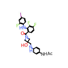 CC(=O)NC1=CCC(NCC2(O)CN(C(=O)c3ccc(F)c(F)c3Nc3ccc(I)cc3F)C2)C=C1